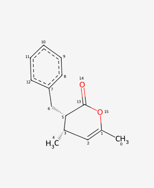 CC1=C[C@H](C)[C@H](Cc2ccccc2)C(=O)O1